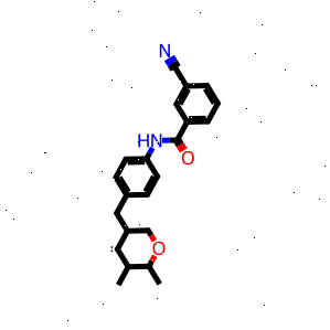 CC1[C]C(Cc2ccc(NC(=O)c3cccc(C#N)c3)cc2)COC1C